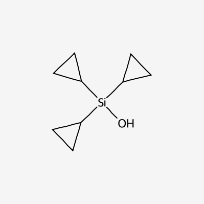 O[Si](C1CC1)(C1CC1)C1CC1